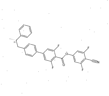 C[C@@H](Cc1ccc(-c2cc(F)c(C(=O)Oc3cc(F)c(C#N)c(F)c3)c(F)c2)cc1)c1ccccc1